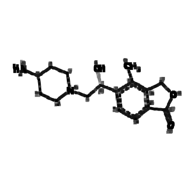 Cc1c([C@@H](O)CN2CCC(N)CC2)ccc2c1COC2=O